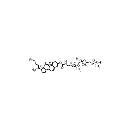 CC(C)CCCC(C)C1CCC2C3CC=C4CC(OC(=O)NCCCC(C)(C)OCC(C)(C)OCCOP(C)(=O)O)CCC4(C)C3CCC12C